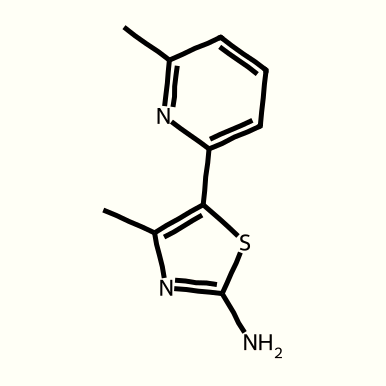 Cc1cccc(-c2sc(N)nc2C)n1